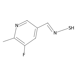 Cc1ncc(/C=N/S)cc1F